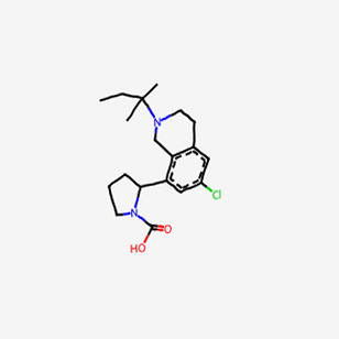 CCC(C)(C)N1CCc2cc(Cl)cc(C3CCCN3C(=O)O)c2C1